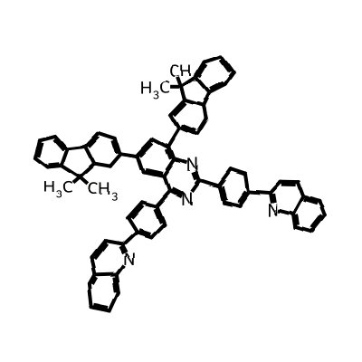 CC1(C)C2=CC(c3cc(C4=CC=C5c6ccccc6C(C)(C)C5C4)cc4c(-c5ccc(-c6ccc7ccccc7n6)cc5)nc(C5=CC=C(c6ccc7ccccc7n6)CC5)nc34)=CCC2c2ccccc21